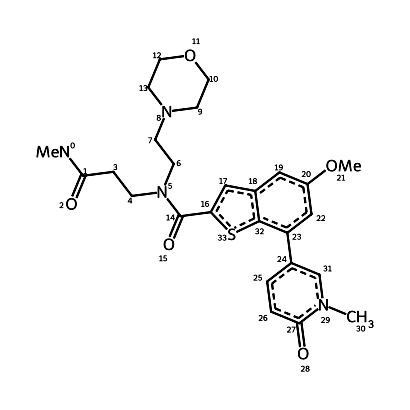 CNC(=O)CCN(CCN1CCOCC1)C(=O)c1cc2cc(OC)cc(-c3ccc(=O)n(C)c3)c2s1